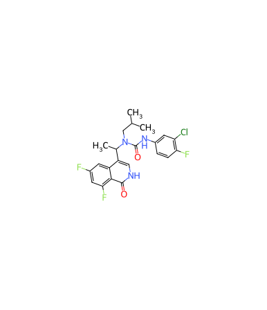 CC(C)CN(C(=O)Nc1ccc(F)c(Cl)c1)C(C)c1c[nH]c(=O)c2c(F)cc(F)cc12